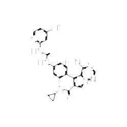 Nc1ncnn2cc(C(=O)NC3CC3)c(-c3ccc(NC(=O)Nc4cc(C(F)(F)F)ccn4)cc3)c12